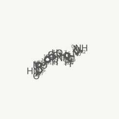 CC1CN(Cc2ccc(C(=O)N[C@@H]3[C@H]4Oc5ccc(Oc6ccnc7c6CCC(=O)N7)cc5[C@@H]34)cc2C(F)(F)F)CC(C)N1